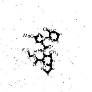 COc1cc(C(=O)Nc2c(C)cc3ccnn3c2C(=O)NCC(F)(F)F)n(-c2ncccc2Cl)n1